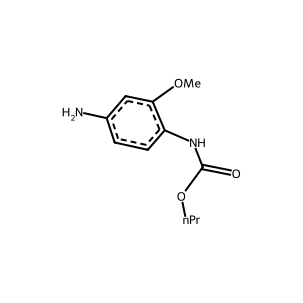 CCCOC(=O)Nc1ccc(N)cc1OC